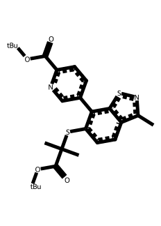 Cc1nsc2c(-c3ccc(C(=O)OC(C)(C)C)nc3)c(SC(C)(C)C(=O)OC(C)(C)C)ccc12